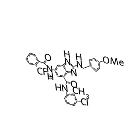 COc1ccc(CNc2nc3c(C(=O)Nc4cccc(Cl)c4C)cc(NC(=O)c4ccccc4C(F)(F)F)cc3[nH]2)cc1